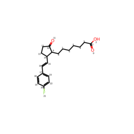 O=C(O)CCCCCCC1C(=O)CCC1C=Cc1ccc(F)cc1